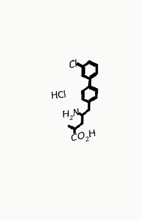 CC(CC(N)Cc1ccc(-c2cccc(Cl)c2)cc1)C(=O)O.Cl